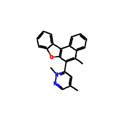 Cc1cn[n+](C)c(-c2c(C)c3ccccc3c3c2oc2ccccc23)c1